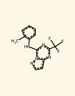 Cc1ccccc1Nc1nc(C(F)(F)F)nc2ccnn12